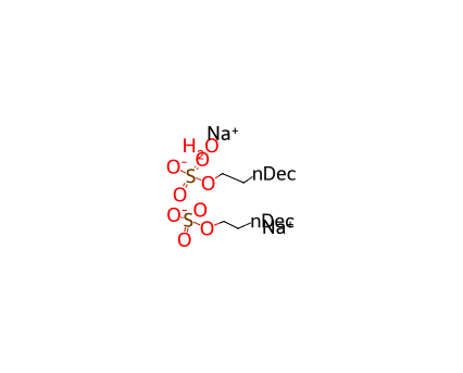 CCCCCCCCCCCCOS(=O)(=O)[O-].CCCCCCCCCCCCOS(=O)(=O)[O-].O.[Na+].[Na+]